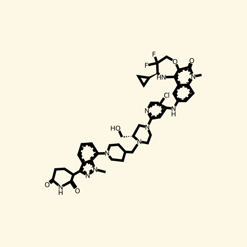 Cn1nc(C2CCC(=O)NC2=O)c2cccc(N3CCC(CN4CCN(c5cc(Nc6ccc7c(c6)c6c(c(=O)n7C)OCC(F)(F)[C@H](C7CC7)N6)c(Cl)cn5)C[C@H]4CO)CC3)c21